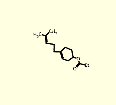 CCC(=O)OC1CC=C(CCC=C(C)C)CC1